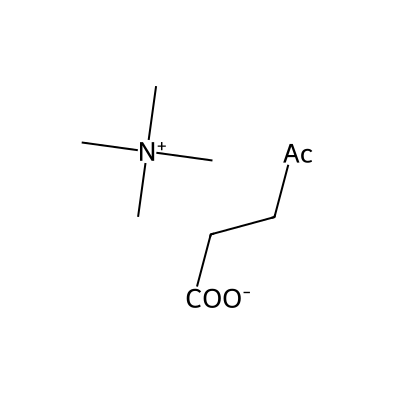 CC(=O)CCC(=O)[O-].C[N+](C)(C)C